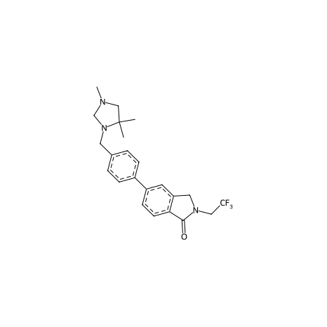 CN1CN(Cc2ccc(-c3ccc4c(c3)CN(CC(F)(F)F)C4=O)cc2)C(C)(C)C1